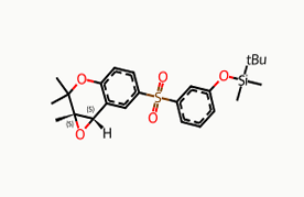 CC1(C)Oc2ccc(S(=O)(=O)c3cccc(O[Si](C)(C)C(C)(C)C)c3)cc2[C@@H]2O[C@@]21C